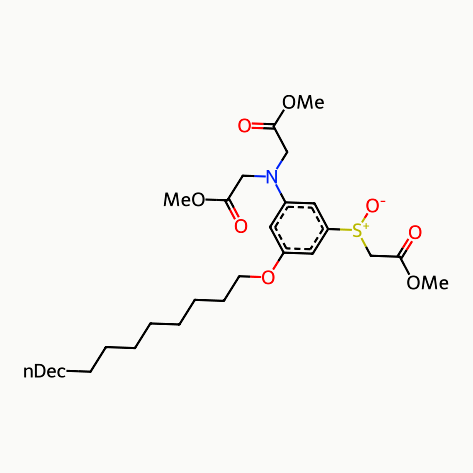 CCCCCCCCCCCCCCCCCCOc1cc(N(CC(=O)OC)CC(=O)OC)cc([S+]([O-])CC(=O)OC)c1